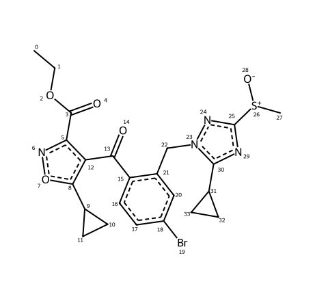 CCOC(=O)c1noc(C2CC2)c1C(=O)c1ccc(Br)cc1Cn1nc([S+](C)[O-])nc1C1CC1